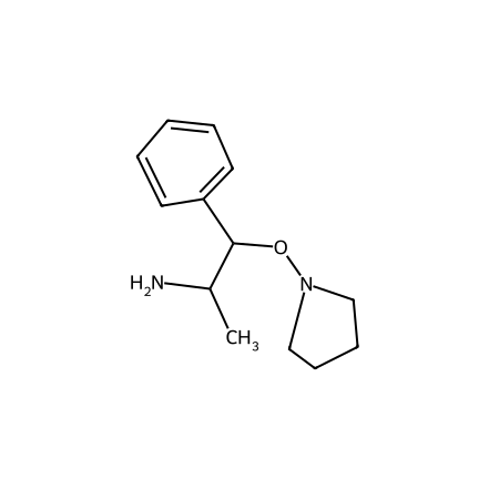 CC(N)C(ON1CCCC1)c1ccccc1